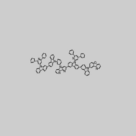 c1ccc(-c2cc(-c3ccccc3)nc(-n3c4ccc(-c5cnc6c7ncccc7n(-c7cccc(-n8c9ccccc9c9cc(-c%10ccc%11c%12ccccc%12n(-c%12cc(-c%13ccccc%13)nc(-c%13ccccc%13)c%12)c%11c%10)ccc98)c7)c6c5)cc4c4ccc(-c5ccc6c(c5)c5ccccc5n6-c5ccc6oc7cccnc7c6c5)cc43)c2)cc1